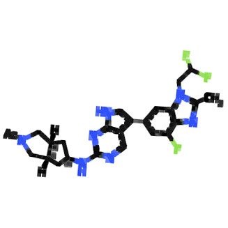 CC(=O)N1C[C@H]2C[C@H](Nc3ncc4c(-c5cc(F)c6nc(C)n(CC(F)F)c6c5)c[nH]c4n3)C[C@H]2C1